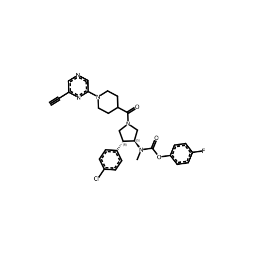 C#Cc1cncc(N2CCC(C(=O)N3C[C@@H](N(C)C(=O)Oc4ccc(F)cc4)[C@H](c4ccc(Cl)cc4)C3)CC2)n1